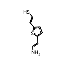 N/C=C/c1ccc(/C=C/S)s1